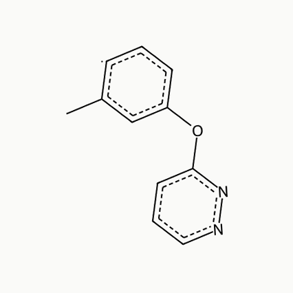 Cc1[c]ccc(Oc2cccnn2)c1